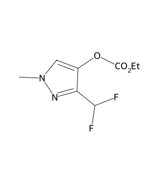 CCOC(=O)Oc1cn(C)nc1C(F)F